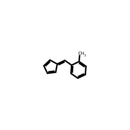 Cc1ccccc1C=C1C=CC=C1